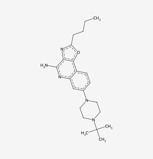 CCCCc1nc2c(N)nc3cc(N4CCN(C(C)(C)C)CC4)ccc3c2o1